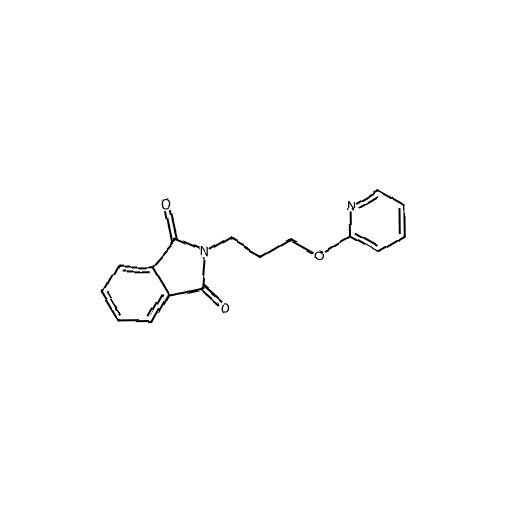 O=C1c2ccccc2C(=O)N1CCCOc1ccccn1